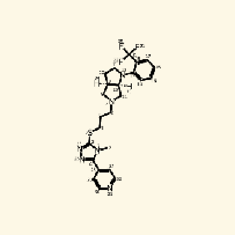 Cn1c(SCCCN2C[C@H]3CCN(c4ccccc4C(F)(F)F)[C@H]3C2)nnc1-c1ccncc1